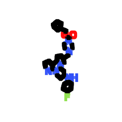 O=C(OCc1ccccc1)N1CCN(Cc2ccc(-c3cccnc3N3CCC(Nc4ccc(F)cc4)CC3)nc2)CC1